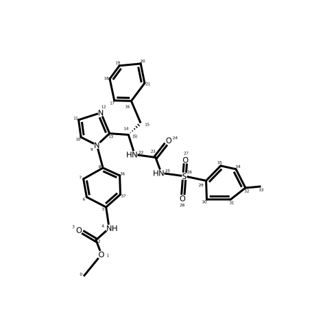 COC(=O)Nc1ccc(-n2ccnc2[C@H](Cc2ccccc2)NC(=O)NS(=O)(=O)c2ccc(C)cc2)cc1